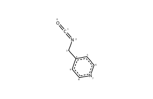 O=C=NCc1ccncc1